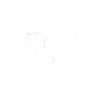 BCC(C)CC(/C=C\C(C)=N)=C/C